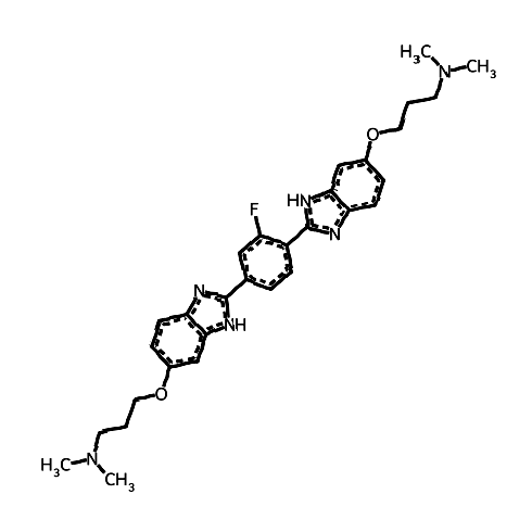 CN(C)CCCOc1ccc2nc(-c3ccc(-c4nc5ccc(OCCCN(C)C)cc5[nH]4)c(F)c3)[nH]c2c1